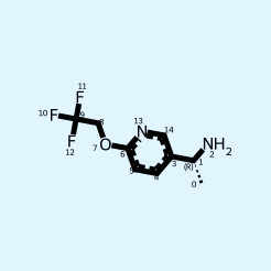 C[C@@H](N)c1ccc(OCC(F)(F)F)nc1